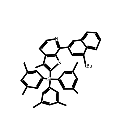 Cc1cc(C)cc([Si](c2cc(C)cc(C)c2)(c2cc(C)cc(C)c2)c2sc3c(-c4cc(C(C)(C)C)c5ccccc5c4)nccc3c2C)c1